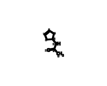 CC(=O)NC1CC=CC1